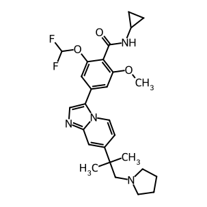 COc1cc(-c2cnc3cc(C(C)(C)CN4CCCC4)ccn23)cc(OC(F)F)c1C(=O)NC1CC1